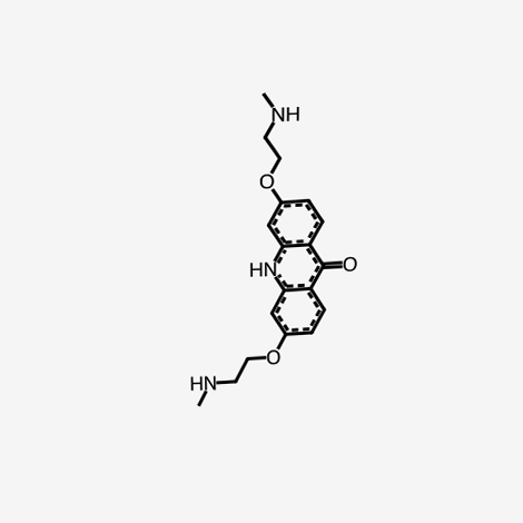 CNCCOc1ccc2c(=O)c3ccc(OCCNC)cc3[nH]c2c1